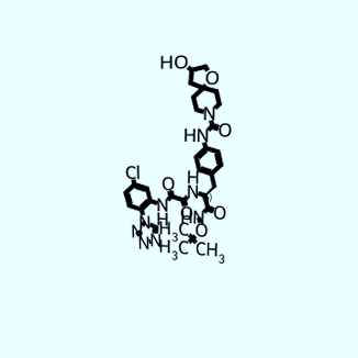 CC(C)(C)ONC(=O)[C@H](Cc1ccc(NC(=O)N2CCC3(CC2)CC(O)CO3)cc1)NC(=O)C(=O)Nc1cc(Cl)ccc1-n1cnnn1